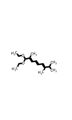 CCOC(OCC)/C(C)=C/C=C/C=C(\C)C(C)C